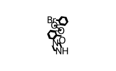 O=Cc1c(N2CCNCC2)cccc1S(=O)(=O)c1ccccc1Br